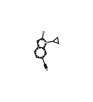 N#Cc1ccc2cc(Br)n(C3CC3)c2c1